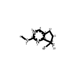 CSc1ncc2c(n1)C(F)(F)CC2